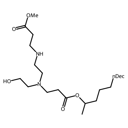 CCCCCCCCCCCCCC(C)OC(=O)CCN(CCO)CCNCCC(=O)OC